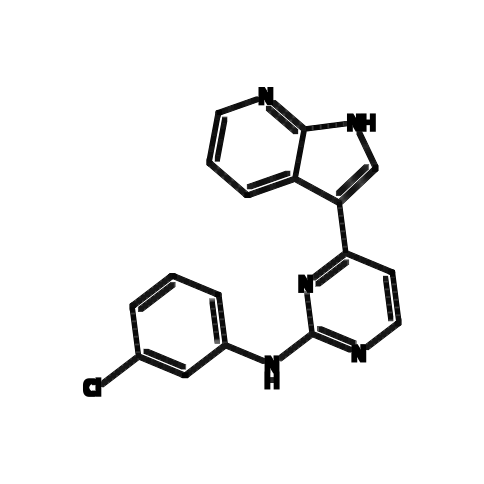 Clc1cccc(Nc2nccc(-c3c[nH]c4ncccc34)n2)c1